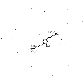 CC(C)(CCCCCc1ccc(CCCCC2(C(=O)O)CC2)cc1O)C(=O)O